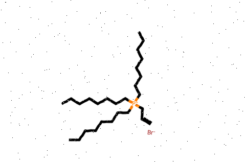 C=CC[P+](CCCCCCCC)(CCCCCCCC)CCCCCCCC.[Br-]